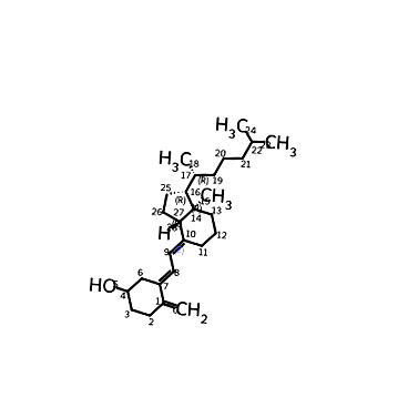 C=C1CCC(O)CC1=C/C=C1\CCC[C@]2(C)[C@@H]([C@H](C)CCCC(C)C)CC[C@@H]12